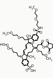 COCCOCCNS(=O)(=O)c1ccc2c(c1)C(C)(CCOCCOC)C(C=CC=C1N(CCCSOOO)c3ccc(S(=O)(=O)O)cc3C1(C)CCCCCC(=O)ON1C(=O)CCC1=O)=[N+]2CCOCCOC